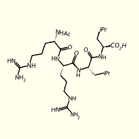 CC(=O)N[C@@H](CCCNC(=N)N)C(=O)N[C@@H](CCCNC(=N)N)C(=O)N[C@@H](CC(C)C)C(=O)N[C@@H](CC(C)C)C(=O)O